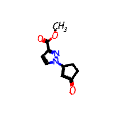 COC(=O)c1ccn(C2CCC(=O)C2)n1